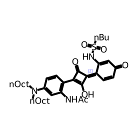 CCCCCCCCN(CCCCCCCC)c1ccc(C2=C(O)/C(=C3\C=CC(=O)C=C3NS(=O)(=O)CCCC)C2=O)c(NC(C)=O)c1